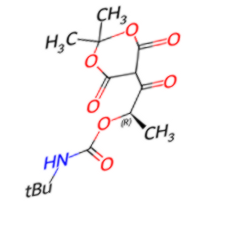 C[C@@H](OC(=O)NC(C)(C)C)C(=O)C1C(=O)OC(C)(C)OC1=O